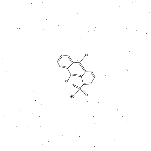 O=S(=O)(O)c1cccc2c(Cl)c3ccccc3c(Cl)c12